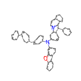 c1ccc(-c2ccc(-c3ccc(N(c4ccc5c(c4)oc4ccccc45)c4ccc5c(-c6ccccc6)c6c7ccccc7ccn6c5c4)cc3)cc2)cc1